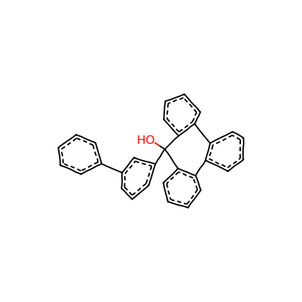 OC1(c2cccc(-c3ccccc3)c2)c2ccccc2-c2ccccc2-c2ccccc21